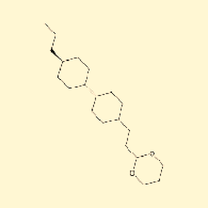 CCC[C@H]1CC[C@H](C2CCC(CCC3OCCCO3)CC2)CC1